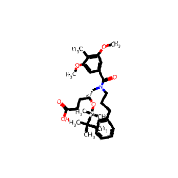 COc1cc(C(=O)N(CCCc2ccccc2)C[C@@H](CCC(=O)O)O[Si](C)(C)C(C)(C)C)cc(OC)c1C